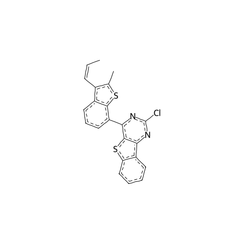 C/C=C\c1c(C)sc2c(-c3nc(Cl)nc4c3sc3ccccc34)cccc12